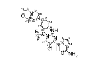 NC(=O)c1sccc1Nc1nc(Nc2ccc(N3CCN4CCOC[C@H]4C3)cc2OC(F)F)ncc1Cl